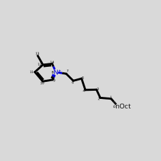 CCCCCCCCCCCCCCC[n+]1cccc(C)c1